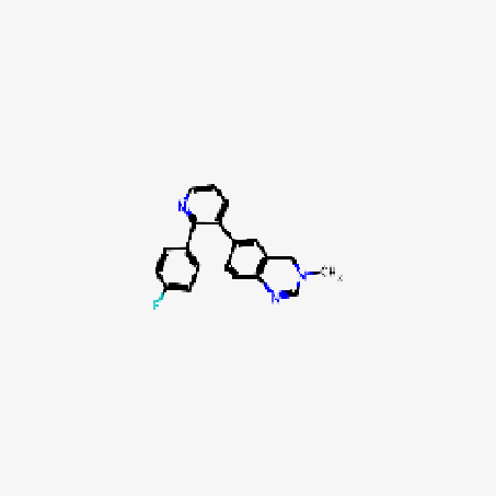 CN1C=Nc2ccc(-c3cccnc3-c3ccc(F)cc3)cc2C1